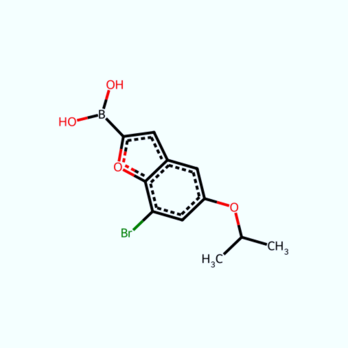 CC(C)Oc1cc(Br)c2oc(B(O)O)cc2c1